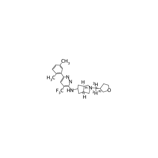 [2H]C([2H])([C@H]1CCOC1)N1C[C@H]2CC(Nc3nnc(-c4cc(C)ccc4C)cc3C(F)(F)F)C[C@H]2C1